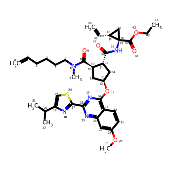 C=CCCCCN(C)C(=O)[C@@H]1C[C@H](Oc2nc(-c3nc(C(C)C)cs3)nc3cc(OC)ccc23)C[C@H]1C(=O)N[C@]1(C(=O)OCC)C[C@H]1C=C